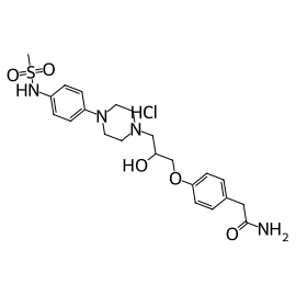 CS(=O)(=O)Nc1ccc(N2CCN(CC(O)COc3ccc(CC(N)=O)cc3)CC2)cc1.Cl